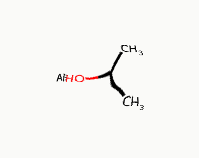 CC(C)O.[Al]